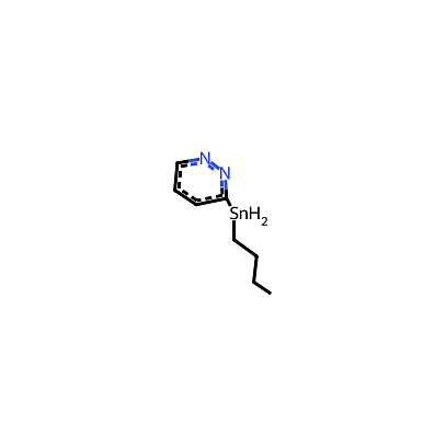 CCC[CH2][SnH2][c]1cccnn1